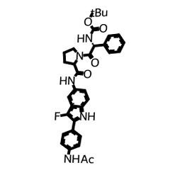 CC(=O)Nc1ccc(-c2[nH]c3ccc(NC(=O)C4CCCN4C(=O)[C@H](NC(=O)OC(C)(C)C)c4ccccc4)cc3c2F)cc1